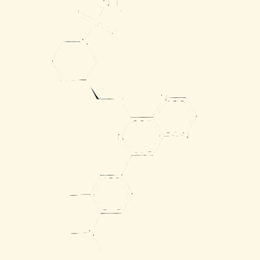 Cc1cc(-c2cc3nccnc3c(OC[C@@H]3CN(S(N)(=O)=O)CCO3)n2)ccc1N(C)C